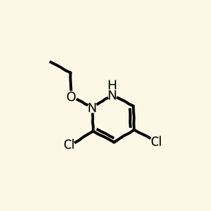 CCON1NC=C(Cl)C=C1Cl